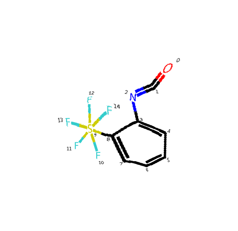 O=C=Nc1ccccc1S(F)(F)(F)(F)F